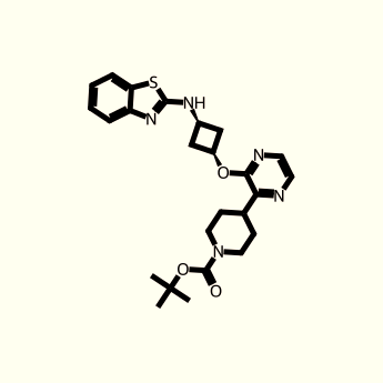 CC(C)(C)OC(=O)N1CCC(c2nccnc2O[C@H]2C[C@@H](Nc3nc4ccccc4s3)C2)CC1